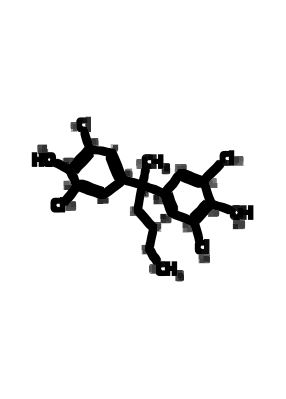 CCCCC(C)(c1cc(Cl)c(O)c(Cl)c1)c1cc(Cl)c(O)c(Cl)c1